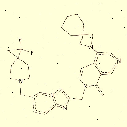 C=C1c2cncc(N3CC4(CCCCC4)C3)c2C=CN1Cc1cn2cc(CN3CCC4(CC3)CC4(F)F)ccc2n1